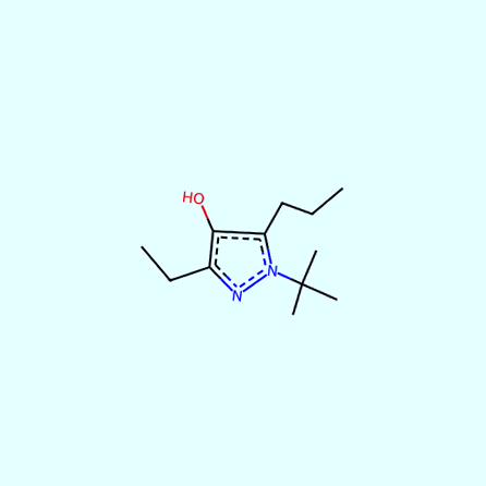 CCCc1c(O)c(CC)nn1C(C)(C)C